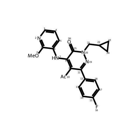 COc1ncccc1Nc1c(C(C)=O)c(-c2ccc(F)cc2)nn(CC2CC2)c1=O